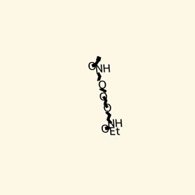 C#CC(=O)NCCCOCCOCCOCCCNC(=O)CC